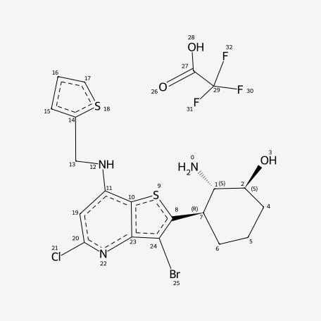 N[C@@H]1[C@@H](O)CCC[C@H]1c1sc2c(NCc3cccs3)cc(Cl)nc2c1Br.O=C(O)C(F)(F)F